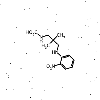 CC(C)(CNC(=O)O)CNc1ccccc1[N+](=O)[O-]